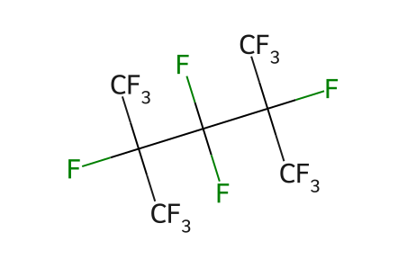 FC(F)(F)C(F)(C(F)(F)F)C(F)(F)C(F)(C(F)(F)F)C(F)(F)F